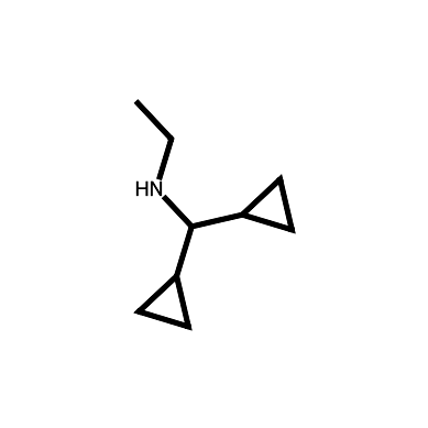 CCNC(C1CC1)C1CC1